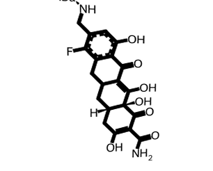 CC[C@@H](C)NCc1cc(O)c2c(c1F)CC1C[C@H]3CC(O)=C(C(N)=O)C(=O)[C@@]3(O)C(O)=C1C2=O